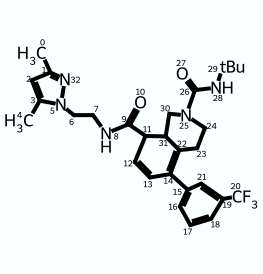 Cc1cc(C)n(CCNC(=O)C2C=CC(c3cccc(C(F)(F)F)c3)=C3CCN(C(=O)NC(C)(C)C)CC32)n1